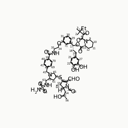 CCC(C)(C)C(=O)C(=O)N1CCCC[C@H]1C(=O)O[C@H](CCc1ccc(O)c(O)c1)c1cccc(OCCNC(=O)c2ccc(CN3C[C@@H](SC4=C(C=O)N5C(=O)[C@H]([C@@H](C)O)[C@H]5[C@H]4C)C[C@H]3CNS(N)(=O)=O)cc2)c1